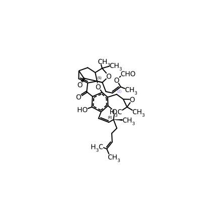 CC(C)=CCC[C@]1(C)C=Cc2c(O)c3c(c(CC4OC4(C)C)c2O1)O[C@]12C(=CC4CC1C(C)(C)OC2(C/C=C(/C)OC=O)C4=O)C3=O